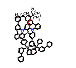 CC(C)(C)c1cc(-c2cc3c4c(c2)N(c2cc(-c5ccccc5)ccc2-c2ccccc2)c2ccccc2B4c2cc(-c4cc([Si](c5ccccc5)(c5ccccc5)c5cccc(-c6ccccc6)c5)cc([Si](c5ccccc5)(c5ccccc5)c5cccc(-c6ccccc6)c5)c4)ccc2N3c2ccccc2-c2ccccc2)cc(C(C)(C)C)c1